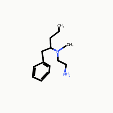 CCCC(Cc1ccccc1)N(C)CCN